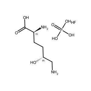 F.NC[C@H](O)CC[C@H](N)C(=O)O.O=P(O)(O)O